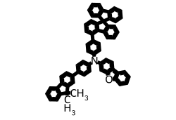 CC1(C)c2ccccc2-c2ccc(-c3ccc(N(c4ccc(-c5cccc6c5-c5ccccc5C65c6ccccc6-c6ccccc65)cc4)c4ccc5c(c4)oc4ccccc45)cc3)cc21